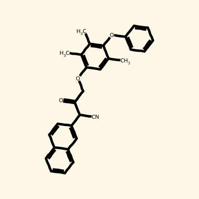 Cc1cc(OCC(=O)C(C#N)c2ccc3ccccc3c2)c(C)c(C)c1Oc1ccccc1